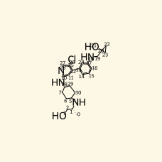 C[C@H](CO)N[C@H]1CC[C@H](Nc2cc(-c3cccc(NCC4(O)CC4)c3)c(Cl)cn2)CC1